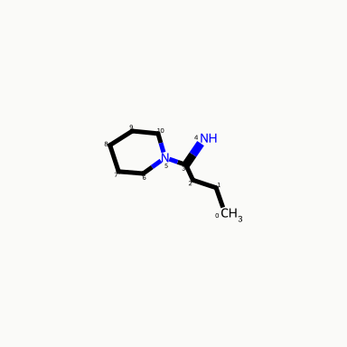 CCCC(=N)N1CCCCC1